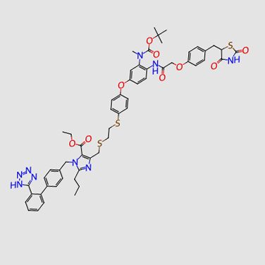 CCCc1nc(CSCCSc2ccc(Oc3ccc(NC(=O)COc4ccc(CC5SC(=O)NC5=O)cc4)c(N(C)C(=O)OC(C)(C)C)c3)cc2)c(C(=O)OCC)n1Cc1ccc(-c2ccccc2-c2nnn[nH]2)cc1